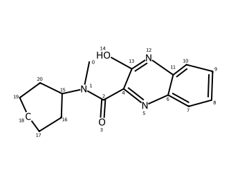 CN(C(=O)c1nc2ccccc2nc1O)C1CCCCC1